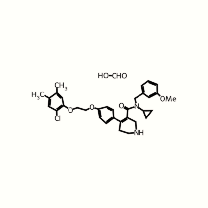 COc1cccc(CN(C(=O)C2=C(c3ccc(OCCOc4cc(C)c(C)cc4Cl)cc3)CCNC2)C2CC2)c1.O=CO